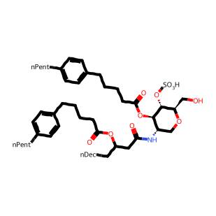 CCCCCCCCCCCC(CC(=O)N[C@H]1CO[C@H](CO)[C@@H](OS(=O)(=O)O)[C@@H]1OC(=O)CCCCc1ccc(CCCCC)cc1)OC(=O)CCCCc1ccc(CCCCC)cc1